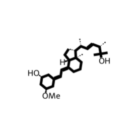 CO[C@@H]1C/C(=C/C=C2\CCC[C@]3(C)[C@@H]([C@H](C)/C=C/[C@H](C)C(C)(C)O)CC[C@@H]23)C[C@@H](O)C1